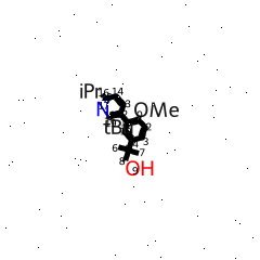 COc1ccc(C(C)(C)CO)cc1-c1ccc(C(C)C)nc1C(C)(C)C